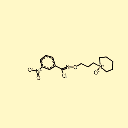 O=[N+]([O-])c1cccc(/C(Cl)=N/OCCC[N+]2([O-])CCCCC2)c1